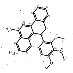 COc1ccc(C2Cc3ccccc3-c3nc(N)c4ccccc4c32)c(OC)c1OC.Cl